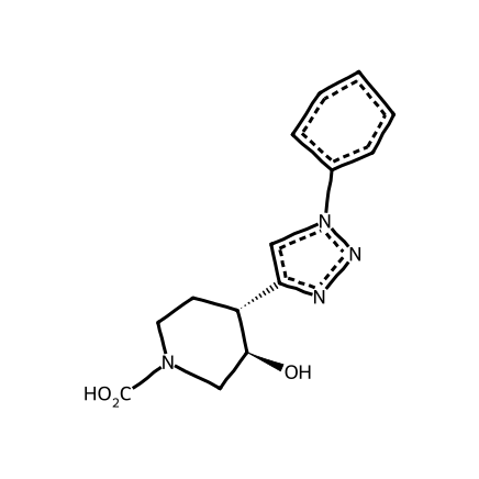 O=C(O)N1CC[C@H](c2cn(-c3ccccc3)nn2)[C@@H](O)C1